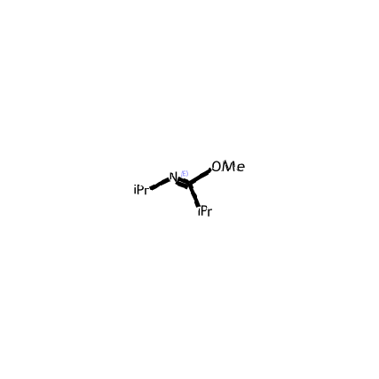 CO/C(=N/C(C)C)C(C)C